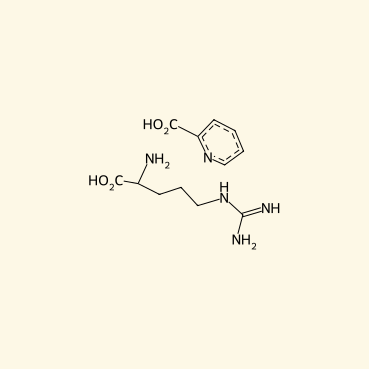 N=C(N)NCCCC(N)C(=O)O.O=C(O)c1ccccn1